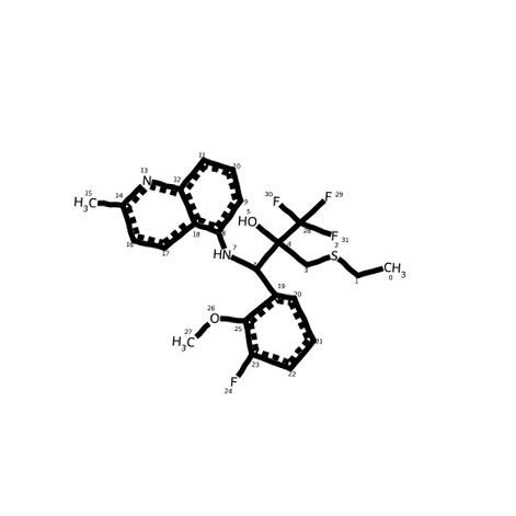 CCSCC(O)(C(Nc1cccc2nc(C)ccc12)c1cccc(F)c1OC)C(F)(F)F